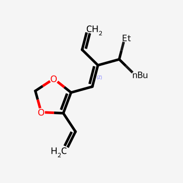 C=CC1=C(/C=C(\C=C)C(CC)CCCC)OCO1